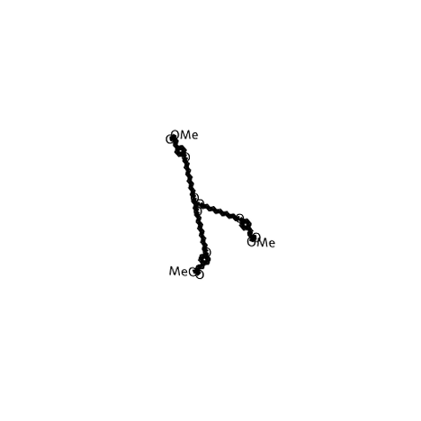 COC(=O)C=Cc1ccc(OCCCCCCCCCCCOCC(COCCCCCCCCCCCOc2ccc(C=CC(=O)OC)cc2)OCCCCCCCCCCCOc2ccc(C=CC(=O)OC)cc2)cc1